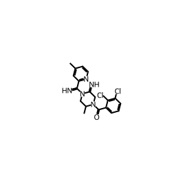 Cc1ccnc(C(=N)N2CC(C)N(C(=O)c3cccc(Cl)c3Cl)CC2=N)c1